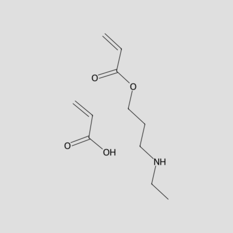 C=CC(=O)O.C=CC(=O)OCCCNCC